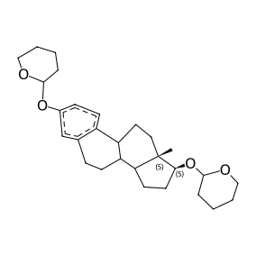 C[C@]12CCC3c4ccc(OC5CCCCO5)cc4CCC3C1CC[C@@H]2OC1CCCCO1